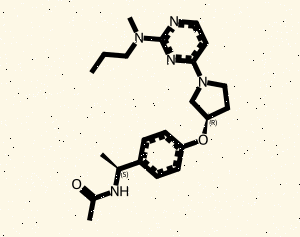 CCCN(C)c1nccc(N2CC[C@@H](Oc3ccc([C@H](C)NC(C)=O)cc3)C2)n1